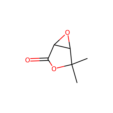 CC1(C)OC(=O)C2OC21